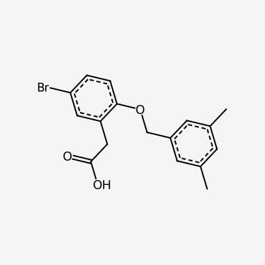 Cc1cc(C)cc(COc2ccc(Br)cc2CC(=O)O)c1